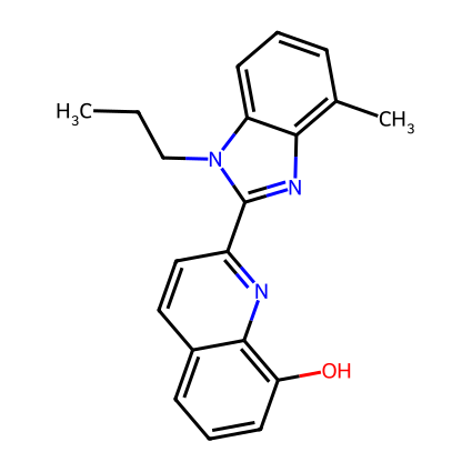 CCCn1c(-c2ccc3cccc(O)c3n2)nc2c(C)cccc21